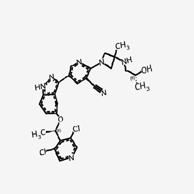 C[C@@H](O)CNC1(C)CN(c2ncc(-c3n[nH]c4ccc(O[C@H](C)c5c(Cl)cncc5Cl)cc34)cc2C#N)C1